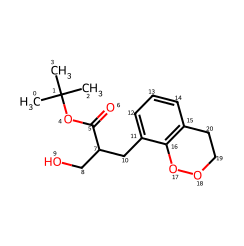 CC(C)(C)OC(=O)C(CO)Cc1cccc2c1OOCC2